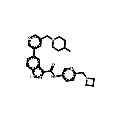 CC1CCN(Cc2cncc(-c3ccc4[nH]nc(C(=O)Nc5ccc(CN6CCC6)nc5)c4c3)c2)CC1